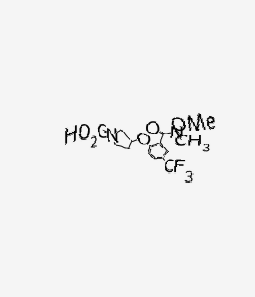 CON(C)C(=O)c1cc(C(F)(F)F)ccc1OC1CCN(C(=O)O)C1